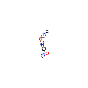 O=C(c1ccc(N2CCC(OC3CCN(C4CCC4)CC3)CC2)cc1)N1CCCC1